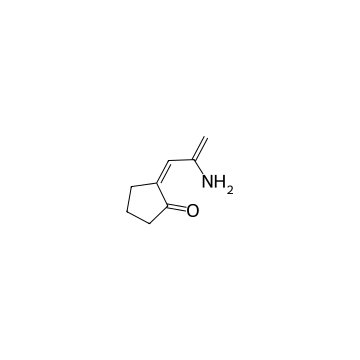 C=C(N)C=C1CCCC1=O